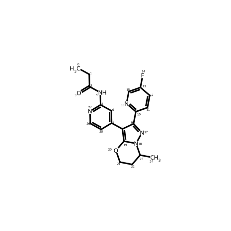 CCC(=O)Nc1cc(-c2c(-c3ccc(F)cn3)nn3c2OCCC3C)ccn1